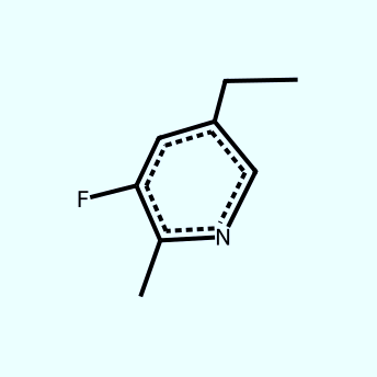 CCc1cnc(C)c(F)c1